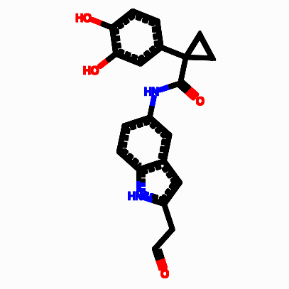 O=CCc1cc2cc(NC(=O)C3(c4ccc(O)c(O)c4)CC3)ccc2[nH]1